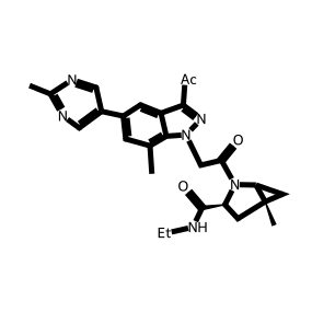 CCNC(=O)[C@@H]1C[C@@]2(C)CC2N1C(=O)Cn1nc(C(C)=O)c2cc(-c3cnc(C)nc3)cc(C)c21